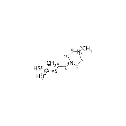 CN1CCN(CCSS(C)(C)S)CC1